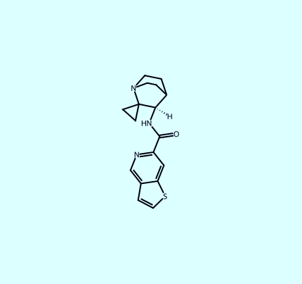 O=C(N[C@@H]1C2CCN(CC2)C12CC2)c1cc2sccc2cn1